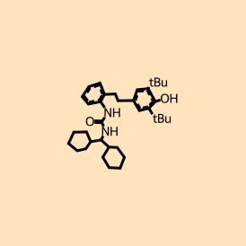 CC(C)(C)c1cc(CCc2ccccc2NC(=O)NC(C2CCCCC2)C2CCCCC2)cc(C(C)(C)C)c1O